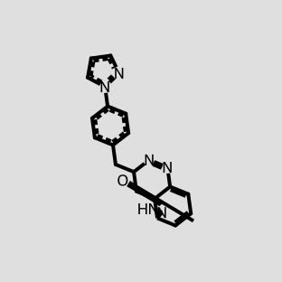 O=C1NN=C2C=CC=C3N=NC(Cc4ccc(-n5cccn5)cc4)CC132